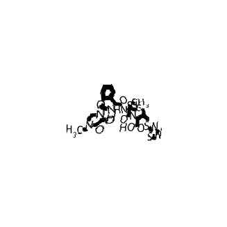 CCN1CCN(C(=O)NC(C(=O)N[C@]2(SC)C(=O)N3C(C(=O)O)=C(CSc4nncs4)CS[C@@H]32)c2ccccc2)C(=O)C1=O